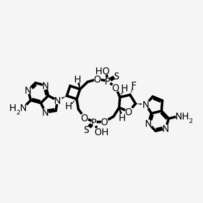 Nc1ncnc2c1ccn2[C@@H]1O[C@@H]2COP(O)(=S)OC[C@@H]3[C@@H](COP(O)(=S)O[C@H]2[C@@H]1F)C[C@H]3n1cnc2c(N)ncnc21